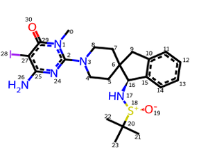 Cn1c(N2CCC3(CC2)Cc2ccccc2[C@H]3N[S@+]([O-])C(C)(C)C)nc(N)c(I)c1=O